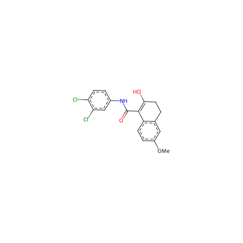 COc1ccc2c(c1)CCC(O)=C2C(=O)Nc1ccc(Cl)c(Cl)c1